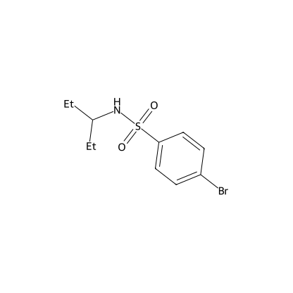 CCC(CC)NS(=O)(=O)c1ccc(Br)cc1